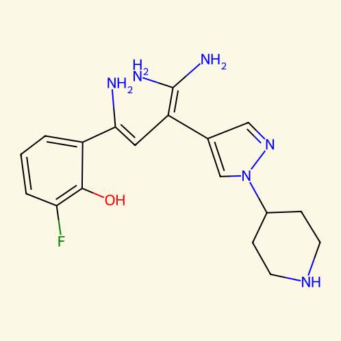 NC(N)=C(/C=C(\N)c1cccc(F)c1O)c1cnn(C2CCNCC2)c1